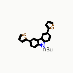 CCCCn1c2ccc(-c3cccs3)cc2c2cc(-c3cccs3)ccc21